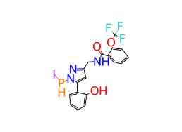 O=C(NCc1cc(-c2ccccc2O)n(PI)n1)c1ccccc1OC(F)(F)F